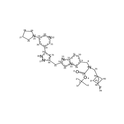 CC(C)(C)OC(=O)N(Cc1ccc2nc(Cc3nnc(-c4cncc(N5CCCC5)c4)s3)cn2c1)CC12CC(F)(C1)C2